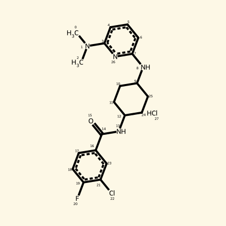 CN(C)c1cccc(NC2CCC(NC(=O)c3ccc(F)c(Cl)c3)CC2)n1.Cl